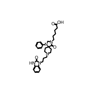 O=C(O)CCCCCN1CN(c2ccccc2)C2(CCN(CCCn3c(=O)[nH]c4ccccc43)CC2)C1=O